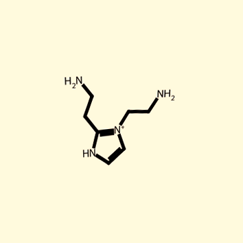 NCCc1[nH]cc[n+]1CCN